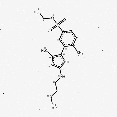 CCOS(=O)(=O)c1ccc(C)c(-c2nc(NCCOC)sc2C)c1